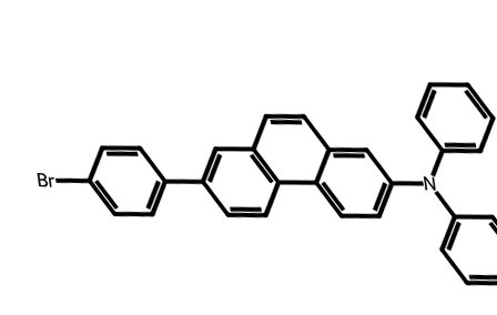 Brc1ccc(-c2ccc3c(ccc4cc(N(c5ccccc5)c5ccccc5)ccc43)c2)cc1